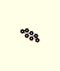 c1ccc2c(c1)B1c3ccccc3N(c3cccc4c3oc3ccccc34)c3cccc(c31)N2c1cccc2c1oc1ccccc12